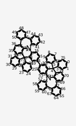 c1ccc(C2(c3ccccc3)c3cc(-c4ccc5c(c4)C(c4ccccc4)(c4ccccc4)c4cccc6c4N5c4ccccc4-c4ccccc4-6)ccc3N3c4ccccc4-c4ccccc4-c4cccc2c43)cc1